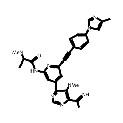 CNc1c(C(C)=N)ncnc1-c1cc(C#Cc2ccc(-n3cnc(C)c3)cc2)nc(NC(=O)C(C)NC)c1